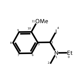 CCN(C)C(I)c1ccccc1OC